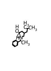 CC(C)CC(CN[C@@H](C)c1ccccc1)CC(=O)O